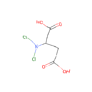 O=C(O)CC(C(=O)O)N(Cl)Cl